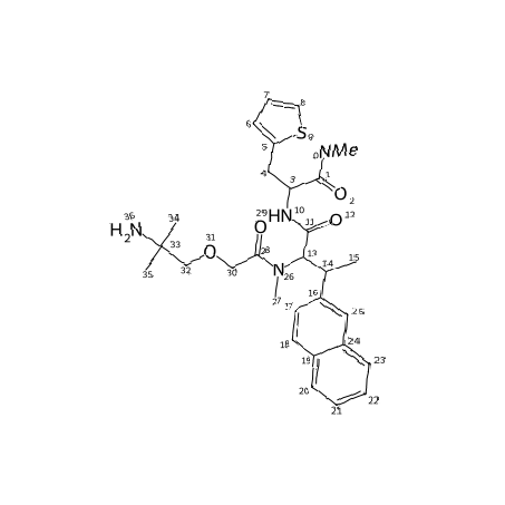 CNC(=O)C(Cc1cccs1)NC(=O)C(C(C)c1ccc2ccccc2c1)N(C)C(=O)COCC(C)(C)N